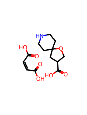 O=C(O)/C=C\C(=O)O.O=C(O)C1COC2(CCNCC2)C1